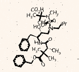 CC(C)CN(C[C@@H](O)[C@H](Cc1ccccc1)NC(=O)[C@H](C)C(C)(C)C(=O)OCc1ccccc1)S(=O)(=O)N(C)C(C)(C)C(=O)O